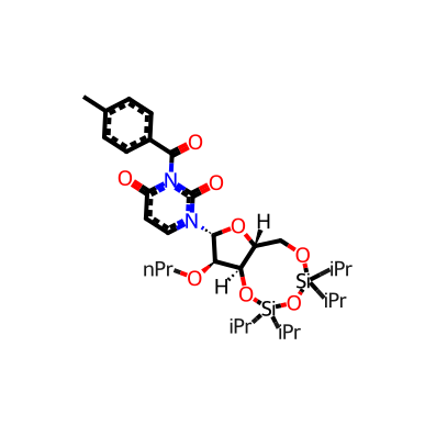 CCCO[C@@H]1[C@@H]2O[Si](C(C)C)(C(C)C)O[Si](C(C)C)(C(C)C)OC[C@H]2O[C@H]1n1ccc(=O)n(C(=O)c2ccc(C)cc2)c1=O